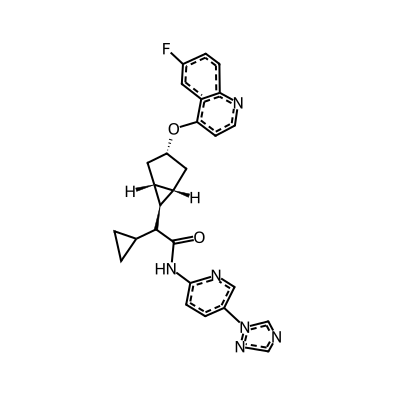 O=C(Nc1ccc(-n2cncn2)cn1)C(C1CC1)[C@H]1[C@@H]2C[C@H](Oc3ccnc4ccc(F)cc34)C[C@@H]21